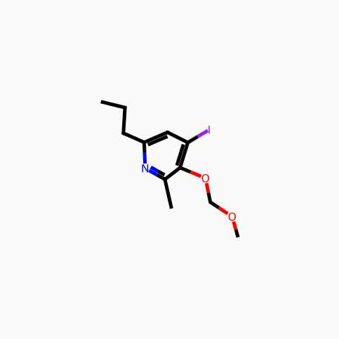 CCCc1cc(I)c(OCOC)c(C)n1